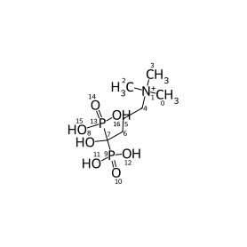 C[N+](C)(C)CCCC(O)(P(=O)(O)O)P(=O)(O)O